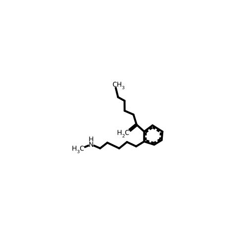 C=C(CCCCC)c1ccccc1CCCCCNC